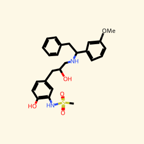 COc1cccc(C(Cc2ccccc2)NCC(O)Cc2ccc(O)c(NS(C)(=O)=O)c2)c1